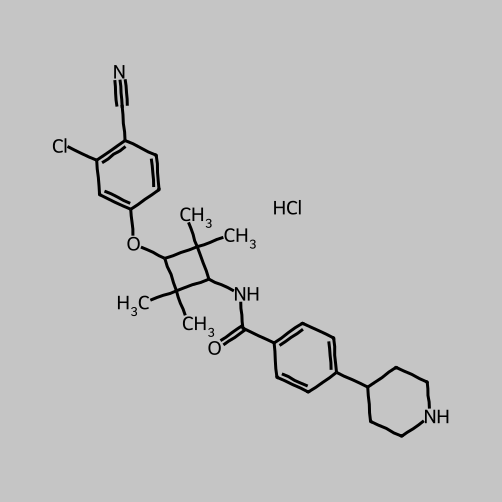 CC1(C)C(NC(=O)c2ccc(C3CCNCC3)cc2)C(C)(C)C1Oc1ccc(C#N)c(Cl)c1.Cl